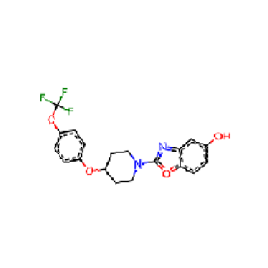 Oc1ccc2oc(N3CCC(Oc4ccc(OC(F)(F)F)cc4)CC3)nc2c1